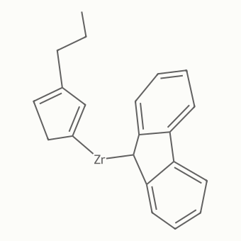 CCCC1=CC[C]([Zr][CH]2c3ccccc3-c3ccccc32)=C1